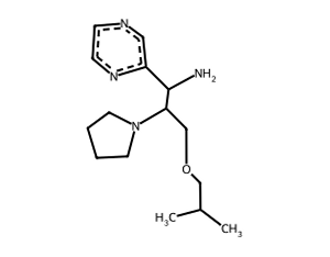 CC(C)COCC(C(N)c1cnccn1)N1CCCC1